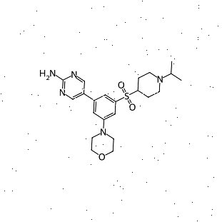 CC(C)N1CCC(S(=O)(=O)c2cc(-c3cnc(N)nc3)cc(N3CCOCC3)c2)CC1